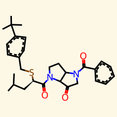 CC(C)C[C@@H](SCc1ccc(C(C)(C)C)cc1)C(=O)N1CCC2C1C(=O)CN2C(=O)c1ccccc1